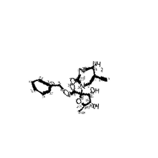 C#Cc1cn([C@]2(C(=O)OCc3ccccc3)O[C@H](C)[C@@H](O)[C@H]2O)c(=O)nc1N